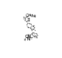 COC1=NCC(c2ccc3nc(Cc4nnc(CC(=O)NC5(C#N)CC5)o4)sc3c2)S1